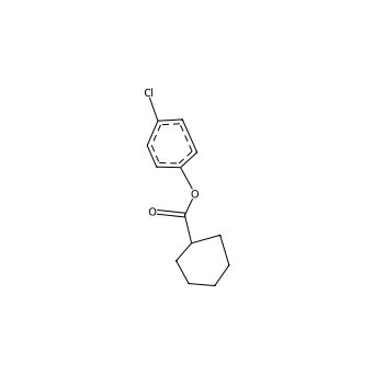 O=C(Oc1ccc(Cl)cc1)C1CCCCC1